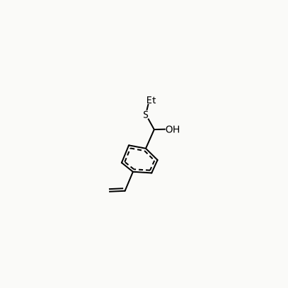 C=Cc1ccc(C(O)SCC)cc1